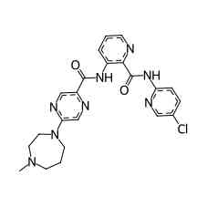 CN1CCCN(c2cnc(C(=O)Nc3cccnc3C(=O)Nc3ccc(Cl)cn3)cn2)CC1